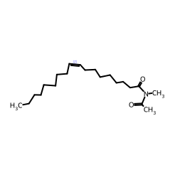 CCCCCCCC/C=C\CCCCCCCC(=O)N(C)C(C)=O